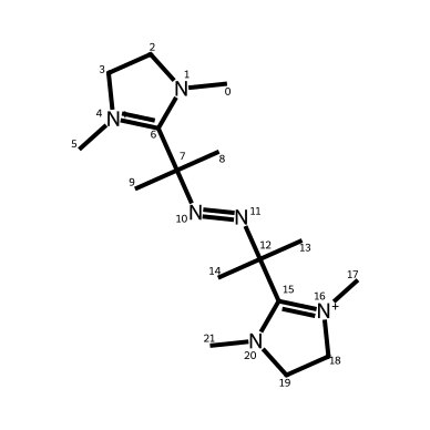 CN1CC[N+](C)=C1C(C)(C)N=NC(C)(C)C1=[N+](C)CCN1C